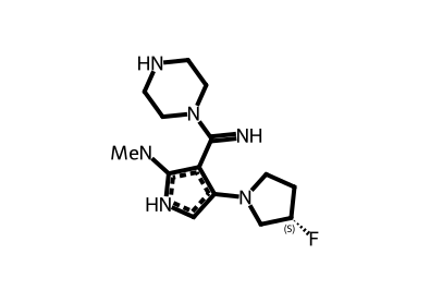 CNc1[nH]cc(N2CC[C@H](F)C2)c1C(=N)N1CCNCC1